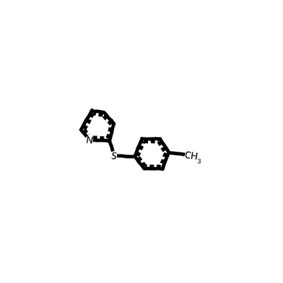 Cc1ccc(Sc2cc[c]cn2)cc1